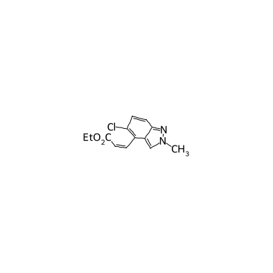 CCOC(=O)/C=C\c1c(Cl)ccc2nn(C)cc12